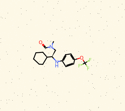 CN([C]=O)C[C@@H](Nc1ccc(OC(F)(F)F)cc1)C1CCCCC1